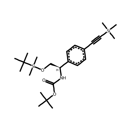 CC(C)(C)OC(=O)N[C@@H](CO[Si](C)(C)C(C)(C)C)c1ccc(C#C[Si](C)(C)C)cc1